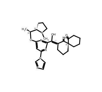 C[C@H](Oc1cc(-n2ccnc2)nc(/C(O)=C2\CCC[C@@]3(CCCCC3=O)C2=N)n1)[C@@H]1CCCN1C